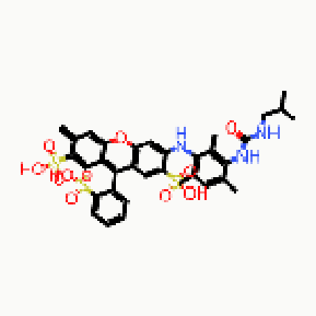 C=c1cc2c(cc1S(=O)(=O)O)=C(c1ccccc1S(=O)(=O)O)c1cc(S(=O)(=O)O)c(Nc3c(C)cc(C)c(NC(=O)NCC(C)C)c3C)cc1O2